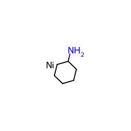 NC1CCCCC1.[Ni]